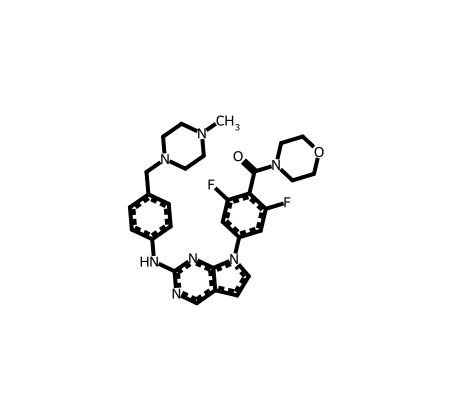 CN1CCN(Cc2ccc(Nc3ncc4ccn(-c5cc(F)c(C(=O)N6CCOCC6)c(F)c5)c4n3)cc2)CC1